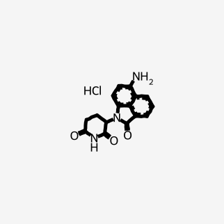 Cl.Nc1ccc2c3c(cccc13)C(=O)N2C1CCC(=O)NC1=O